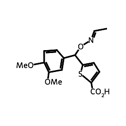 C/C=N/OC(c1ccc(OC)c(OC)c1)c1ccc(C(=O)O)s1